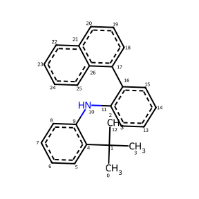 CC(C)(C)c1ccccc1Nc1ccccc1-c1cccc2ccccc12